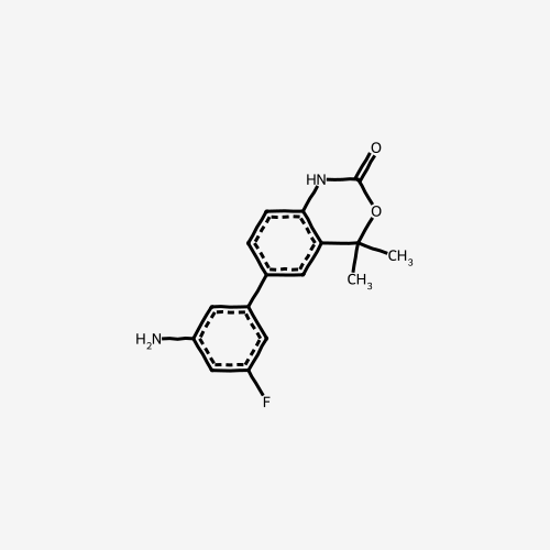 CC1(C)OC(=O)Nc2ccc(-c3cc(N)cc(F)c3)cc21